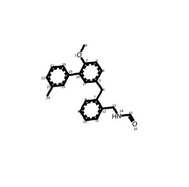 COc1ccc(Cc2ccccc2CNC=O)cc1-c1cccc(C)c1